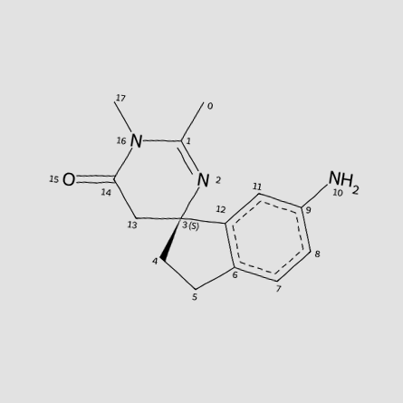 CC1=N[C@@]2(CCc3ccc(N)cc32)CC(=O)N1C